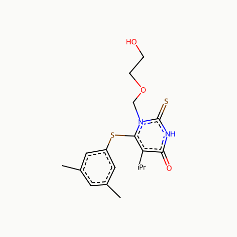 Cc1cc(C)cc(Sc2c(C(C)C)c(=O)[nH]c(=S)n2COCCO)c1